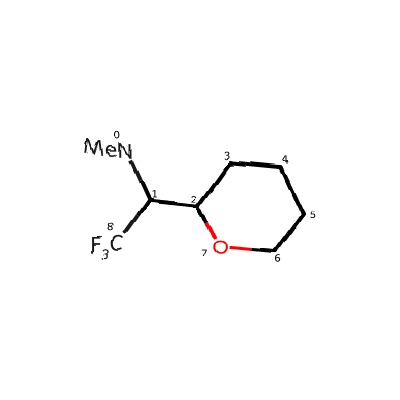 CNC(C1CCCCO1)C(F)(F)F